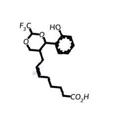 O=C(O)CCCC/C=C\CC1COC(C(F)(F)F)OC1c1ccccc1O